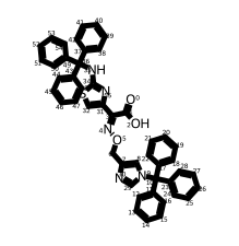 O=C(O)C(=NOCc1cn(C(c2ccccc2)(c2ccccc2)c2ccccc2)cn1)c1csc(NC(c2ccccc2)(c2ccccc2)c2ccccc2)n1